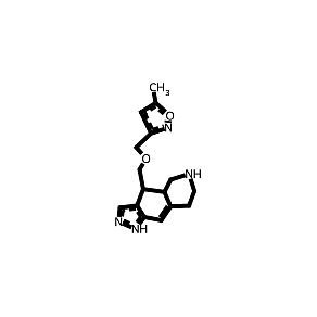 Cc1cc(COCC2c3cn[nH]c3C=C3CCNCC32)no1